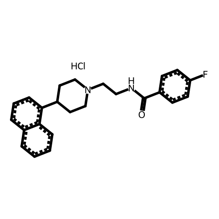 Cl.O=C(NCCN1CCC(c2cccc3ccccc23)CC1)c1ccc(F)cc1